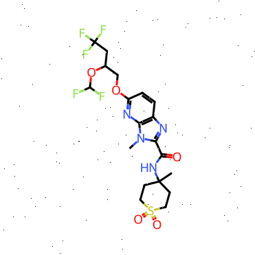 Cn1c(C(=O)NC2(C)CCS(=O)(=O)CC2)nc2ccc(OCC(CC(F)(F)F)OC(F)F)nc21